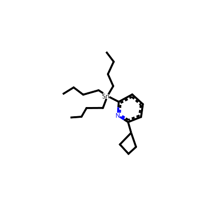 CCC[CH2][Sn]([CH2]CCC)([CH2]CCC)[c]1cccc(C2CCC2)n1